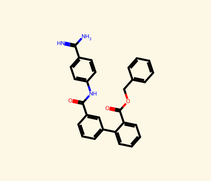 N=C(N)c1ccc(NC(=O)c2cccc(-c3ccccc3C(=O)OCc3ccccc3)c2)cc1